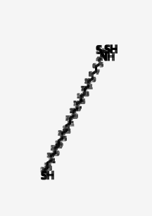 S=C(S)NCCCCCCCCCCCCCCCCCCCCCCCCCCCCCCCS